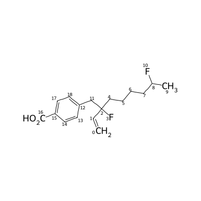 C=CC(F)(CCCCC(C)F)Cc1ccc(C(=O)O)cc1